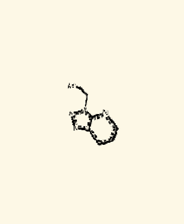 CC(=O)Cn1nnc2cccnc21